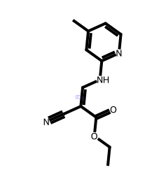 CCOC(=O)/C(C#N)=C\Nc1cc(C)ccn1